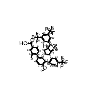 COc1ccc(-c2ccc(C(=O)O)cc2C)cc1-c1cnc(C(F)(F)F)cc1[C@@H]1CC[C@@H]2C1=NO[C@@H]2c1cc(C(F)(F)F)cc(C(F)(F)F)c1